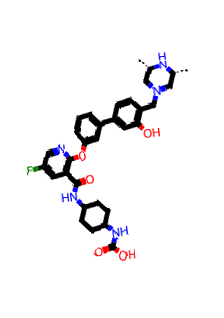 C[C@@H]1CN(Cc2ccc(-c3cccc(Oc4ncc(F)cc4C(=O)NC4CCC(NC(=O)O)CC4)c3)cc2O)C[C@H](C)N1